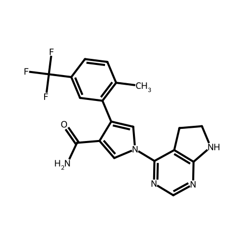 Cc1ccc(C(F)(F)F)cc1-c1cn(-c2ncnc3c2CCN3)cc1C(N)=O